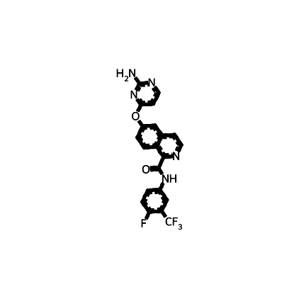 Nc1nccc(Oc2ccc3c(C(=O)Nc4ccc(F)c(C(F)(F)F)c4)nccc3c2)n1